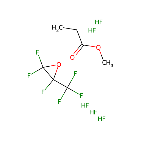 CCC(=O)OC.F.F.F.F.F.FC(F)(F)C1(F)OC1(F)F